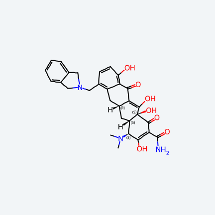 CN(C)[C@@H]1C(O)=C(C(N)=O)C(=O)[C@@]2(O)C(O)=C3C(=O)c4c(O)ccc(CN5Cc6ccccc6C5)c4C[C@H]3C[C@@H]12